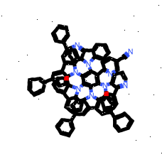 N#Cc1ccc(-c2c(-n3c4ccccc4c4ncccc43)c(-n3c4ccc(-c5ccccc5)cc4c4cc(-c5ccccc5)ccc43)c(-n3c4ccccc4c4ccccc43)c(-n3c4ccc(-c5ccccc5)cc4c4cc(-c5ccccc5)ccc43)c2-n2c3ccccc3c3ncccc32)nc1